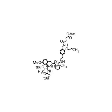 C=CCOc1cc(CCNC(=O)[C@]2(C)CCCN2C(=O)[C@H](Cc2ccc(OC)cc2)NC(=O)[C@@H](NC(=O)OC(C)(C)C)[C@H](C)OC(C)(C)C)ccc1CNC(=O)CCC(=O)OC